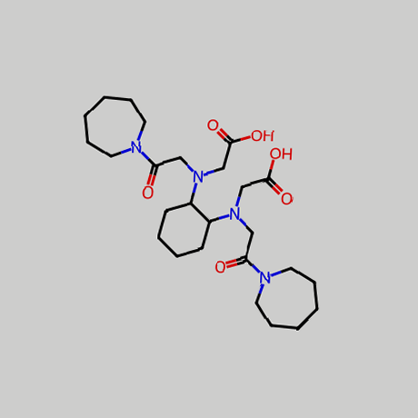 O=C(O)CN(CC(=O)N1CCCCCC1)C1CCCCC1N(CC(=O)O)CC(=O)N1CCCCCC1